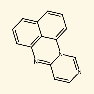 C1=CC2=Nc3cccc4cccc(c34)N2C=N1